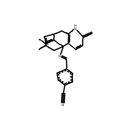 C=C1C=CC2=C(CC3C=C(C)CC2(/N=C/c2ccc(C#N)cc2)/C3=C/C)N1